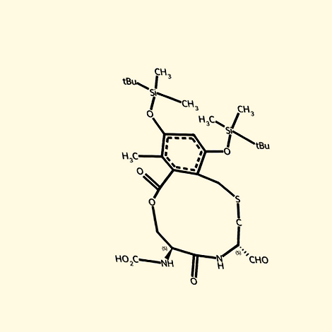 Cc1c(O[Si](C)(C)C(C)(C)C)cc(O[Si](C)(C)C(C)(C)C)c2c1C(=O)OC[C@H](NC(=O)O)C(=O)N[C@@H](C=O)CSC2